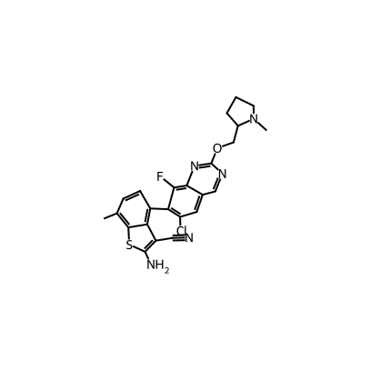 Cc1ccc(-c2c(Cl)cc3cnc(OCC4CCCN4C)nc3c2F)c2c(C#N)c(N)sc12